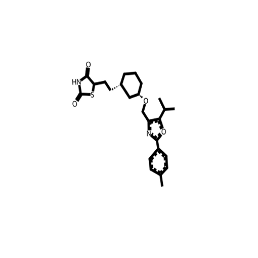 Cc1ccc(-c2nc(CO[C@H]3CCC[C@@H](CCC4SC(=O)NC4=O)C3)c(C(C)C)o2)cc1